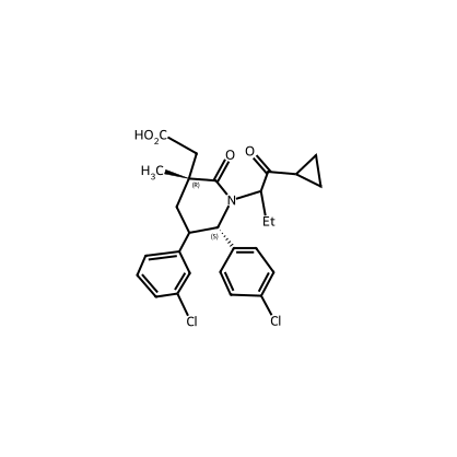 CCC(C(=O)C1CC1)N1C(=O)[C@@](C)(CC(=O)O)CC(c2cccc(Cl)c2)[C@H]1c1ccc(Cl)cc1